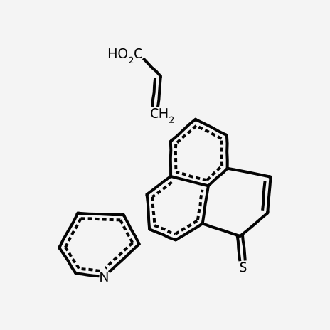 C=CC(=O)O.S=C1C=Cc2cccc3cccc1c23.c1ccncc1